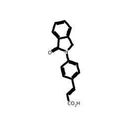 O=C(O)C=Cc1ccc(N2Cc3ccccc3C2=O)cc1